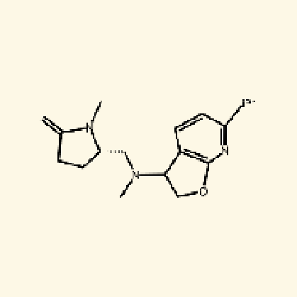 C=C1CC[C@@H](CN(C)C2COc3nc(C(C)C)ccc32)N1C